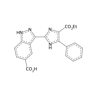 CCOC(=O)c1nc(-c2n[nH]c3ccc(C(=O)O)cc23)[nH]c1-c1ccccc1